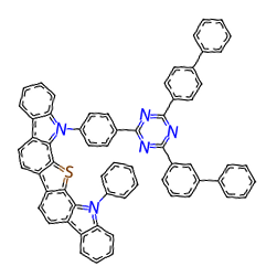 c1ccc(-c2ccc(-c3nc(-c4ccc(-n5c6ccccc6c6ccc7c8ccc9c%10ccccc%10n(-c%10ccccc%10)c9c8sc7c65)cc4)nc(-c4cccc(-c5ccccc5)c4)n3)cc2)cc1